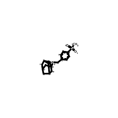 CS(=O)(=O)c1ccc(CNC23CC4CC(CC(C4)C2)C3)cc1